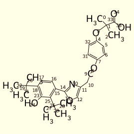 CC(C)(Oc1ccc(OCCc2coc(-c3ccc(C(C)(C)C)c(O)c3C(C)(C)C)n2)cc1)C(=O)O